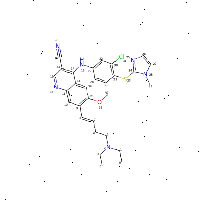 CCN(CC)CC/C=C/c1cc2ncc(C#N)c(Nc3ccc(Sc4nccn4C)c(Cl)c3)c2cc1OC